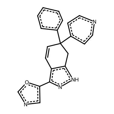 C1=CC(c2ccccc2)(c2ccncc2)Cc2[nH]nc(-c3cnco3)c21